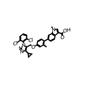 Cc1cc(OCc2c(C3CC3)nnn2-c2c(Cl)cccc2Cl)ccc1-c1ccc2c(C(=O)O)cn(C)c2c1